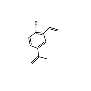 C=Cc1cc(C(=C)C)ccc1CC